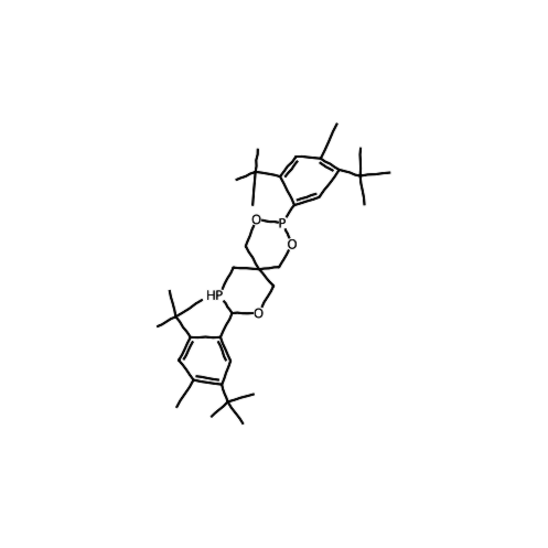 Cc1cc(C(C)(C)C)c(C2OCC3(COP(c4cc(C(C)(C)C)c(C)cc4C(C)(C)C)OC3)CP2)cc1C(C)(C)C